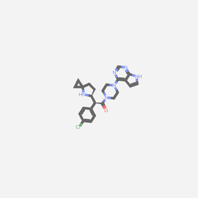 O=C([C@@H](c1ccc(Cl)cc1)[C@@H]1CCC2(CC2)N1)N1CCN(c2ncnc3[nH]ccc23)CC1